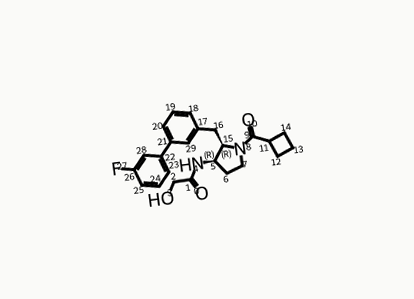 O=C(CO)N[C@@H]1CCN(C(=O)C2CCC2)[C@@H]1Cc1cccc(-c2cccc(F)c2)c1